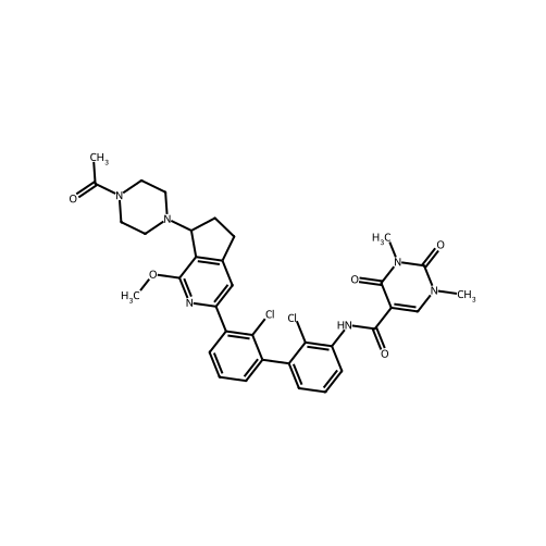 COc1nc(-c2cccc(-c3cccc(NC(=O)c4cn(C)c(=O)n(C)c4=O)c3Cl)c2Cl)cc2c1C(N1CCN(C(C)=O)CC1)CC2